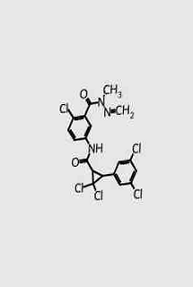 C=NN(C)C(=O)c1cc(NC(=O)C2C(c3cc(Cl)cc(Cl)c3)C2(Cl)Cl)ccc1Cl